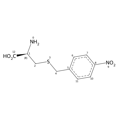 N[C@@H](CSCc1ccc([N+](=O)[O-])cc1)C(=O)O